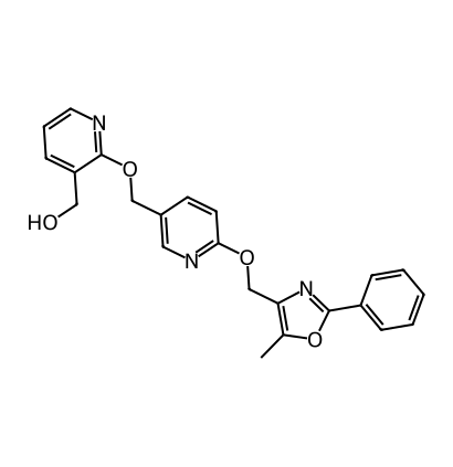 Cc1oc(-c2ccccc2)nc1COc1ccc(COc2ncccc2CO)cn1